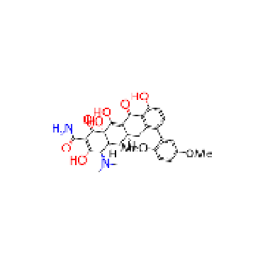 COc1ccc(OC)c(-c2ccc(O)c3c2C[C@H]2C[C@H]4[C@@H](N(C)C)C(O)=C(C(N)=O)C(=O)[C@@]4(O)C(O)=C2C3=O)c1